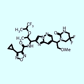 COCC(c1cnn2cc(C(NC(=O)c3nonc3C3CC3)C(C)OC(C)C(F)(F)F)nc2c1)N1CC(F)(F)CNC1=O